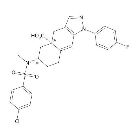 CN([C@H]1CCC2=Cc3c(cnn3-c3ccc(F)cc3)C[C@]2(C(=O)O)C1)S(=O)(=O)c1ccc(Cl)cc1